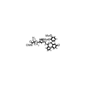 COC(=O)C(C)(C)OCc1cn(CC[C@H]2O[C@H](c3cccc(OC)c3OC)c3cc(Cl)ccc3-n3cccc32)nn1